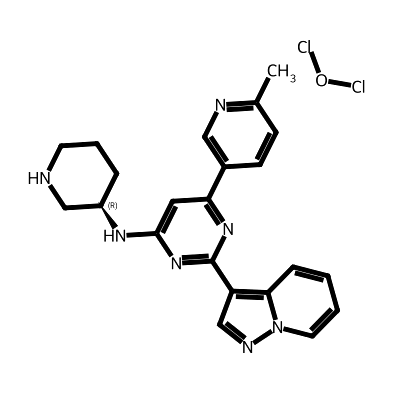 Cc1ccc(-c2cc(N[C@@H]3CCCNC3)nc(-c3cnn4ccccc34)n2)cn1.ClOCl